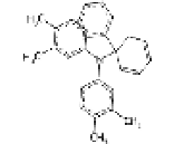 Cc1ccc(N(c2ccc(C)c(C)c2)C2(c3ccccc3)C=CC=CC2)cc1C